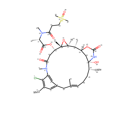 COc1cc2cc(c1Cl)N(C)C(=O)C[C@H](OC(=O)[C@H](C)N(C)C(=O)CC[SH](C)(C)=O)[C@]1(C)O[C@H]1[C@H](C)[C@@H]1C[C@@](O)(NC(=O)O1)[C@H](OC)CC/C=C(\C)C2